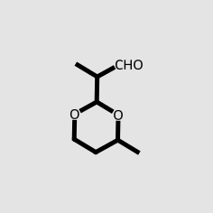 CC1CCOC(C(C)C=O)O1